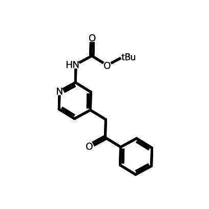 CC(C)(C)OC(=O)Nc1cc(CC(=O)c2ccccc2)ccn1